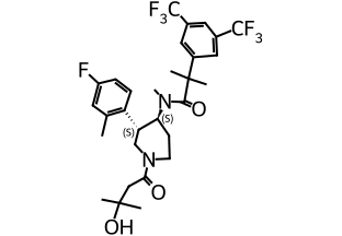 Cc1cc(F)ccc1[C@H]1CN(C(=O)CC(C)(C)O)CC[C@@H]1N(C)C(=O)C(C)(C)c1cc(C(F)(F)F)cc(C(F)(F)F)c1